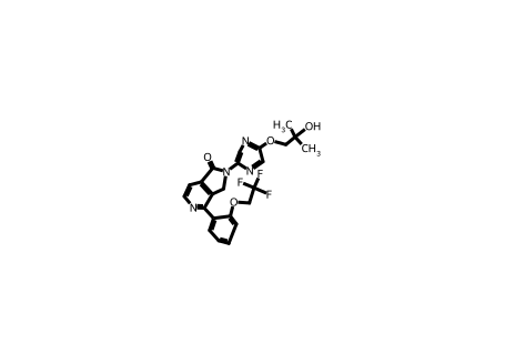 CC(C)(O)COc1cnc(N2Cc3c(ccnc3-c3ccccc3OCC(F)(F)F)C2=O)cn1